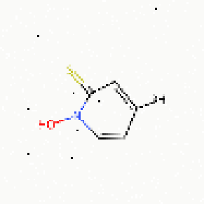 [2H]c1ccn(O)c(=S)c1